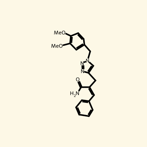 COc1ccc(Cn2cc(CC(=Cc3ccccc3)C(N)=O)nn2)cc1OC